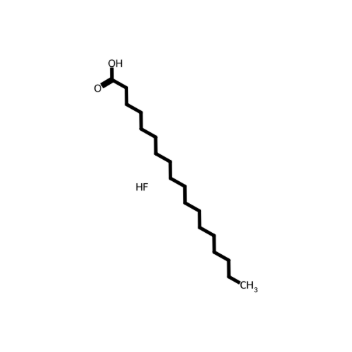 CCCCCCCCCCCCCCCCCC(=O)O.F